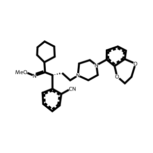 CO/N=C(\C1CCCCC1)[C@H](CCN1CCN(c2cccc3c2OCCO3)CC1)c1ccccc1C#N